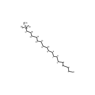 CCCCCCCCCCCCCCCCCC[Si](C)(C)F